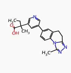 CCC(C)(C(=O)O)c1cncc(-c2ccc3c(c2)CCc2nnc(C)n2-3)c1